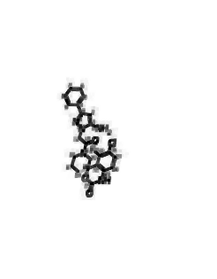 Nc1cc(-c2ccccc2)nn1CC(=O)N1CCC[C@@]2(C1)OC(=O)Nc1ccc(Cl)c(F)c12